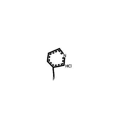 Cl.Fc1cccnc1